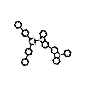 C1=CC2C(C=C1c1ccc3c(c1)c1ccccc1n3-c1nc(-c3ccc(-c4ccccc4)cc3)nc(-c3ccc(-c4ccccc4)cc3)n1)c1ccccc1N2c1ccccc1